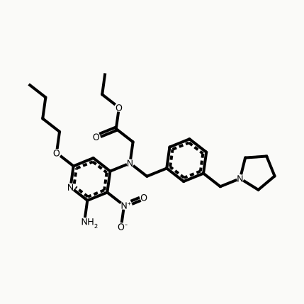 CCCCOc1cc(N(CC(=O)OCC)Cc2cccc(CN3CCCC3)c2)c([N+](=O)[O-])c(N)n1